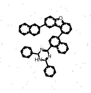 c1ccc(C2=NC(c3ccc(-c4cccc5oc6ccc(-c7ccc8ccccc8c7)cc6c45)c4ccccc34)=NC(c3ccccc3)N2)cc1